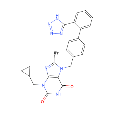 CC(C)c1nc2c(c(=O)[nH]c(=O)n2CC2CC2)n1Cc1ccc(-c2ccccc2-c2nnn[nH]2)cc1